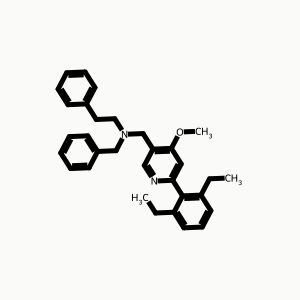 CCc1cccc(CC)c1-c1cc(OC)c(CN(CCc2ccccc2)Cc2ccccc2)cn1